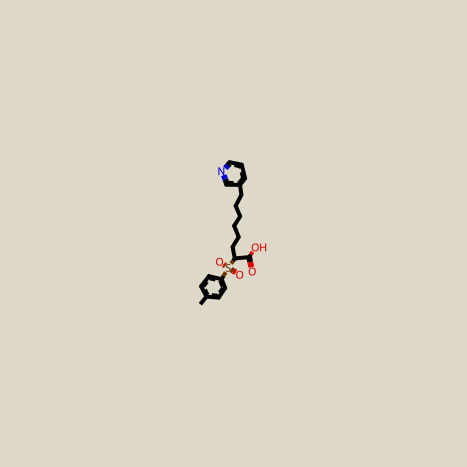 Cc1ccc(S(=O)(=O)C(CCCCCCc2cccnc2)C(=O)O)cc1